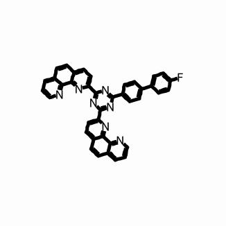 Fc1ccc(-c2ccc(-c3nc(-c4ccc5ccc6cccnc6c5n4)nc(-c4ccc5ccc6cccnc6c5n4)n3)cc2)cc1